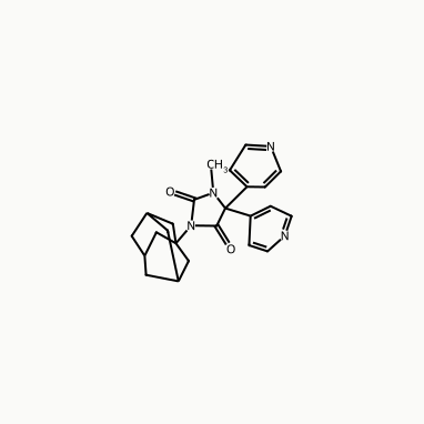 CN1C(=O)N(C23CC4CC(CC(C4)C2)C3)C(=O)C1(c1ccncc1)c1ccncc1